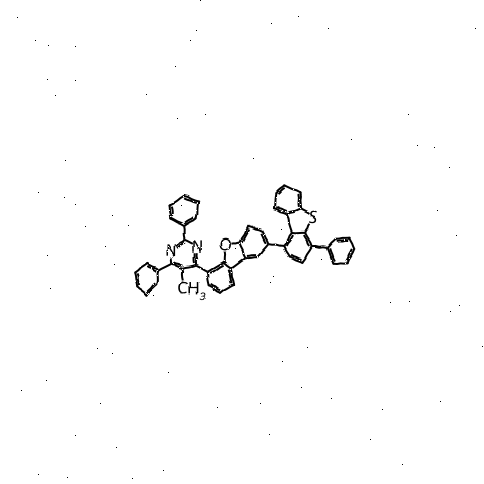 Cc1c(-c2ccccc2)nc(-c2ccccc2)nc1-c1cccc2c1oc1ccc(-c3ccc(-c4ccccc4)c4sc5ccccc5c34)cc12